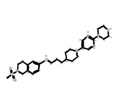 CS(=O)(=O)N1CCc2cc(OCCCC3CCN(c4cnc([N+]5CCOCC5)nc4)CC3)ccc2C1